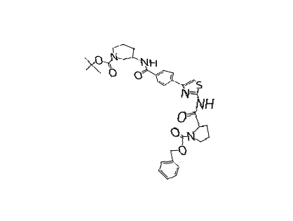 CC(C)(C)OC(=O)N1CCCC(NC(=O)c2ccc(-c3csc(NC(=O)C4CCCN4C(=O)OCc4ccccc4)n3)cc2)C1